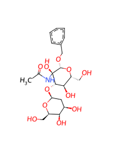 CC(=O)N[C@]1(O)[C@H](OCc2ccccc2)O[C@H](CO)[C@@H](O)[C@@H]1O[C@H]1C[C@@H](O)[C@@H](O)[C@@H](CO)O1